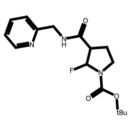 CC(C)(C)OC(=O)N1CCC(C(=O)NCc2ccccn2)C1F